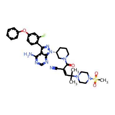 CC(C)(/C=C(/C#N)C(=O)N1CCC[C@@H](n2nc(-c3ccc(Oc4ccccc4)cc3F)c3c(N)ncnc32)C1)N1CCN(S(C)(=O)=O)CC1